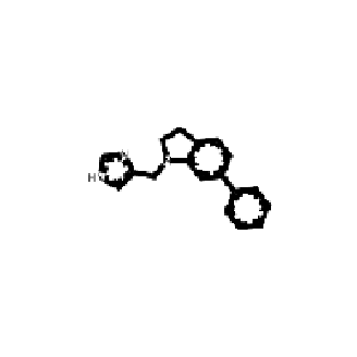 c1ccc(-c2ccc3c(c2)N(Cc2c[nH]cn2)CC3)cc1